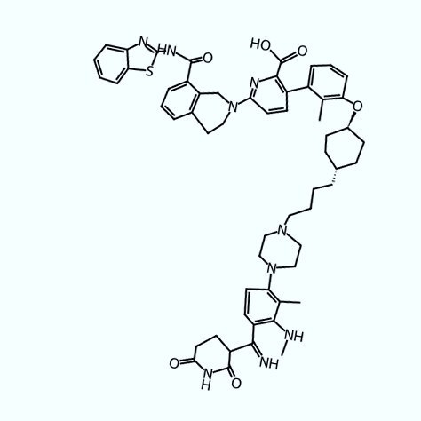 CNc1c(C(=N)C2CCC(=O)NC2=O)ccc(N2CCN(CCCC[C@H]3CC[C@H](Oc4cccc(-c5ccc(N6CCc7cccc(C(=O)Nc8nc9ccccc9s8)c7C6)nc5C(=O)O)c4C)CC3)CC2)c1C